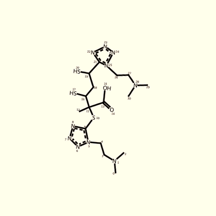 CN(C)CCn1nnnc1SC(C)(C(=O)O)C(S)CC(S)c1nnnn1CCN(C)C